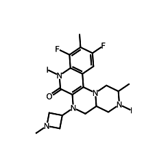 Cc1c(F)cc2c3c(c(=O)n(I)c2c1F)N(C1CN(C)C1)CC1CN(I)C(C)CN31